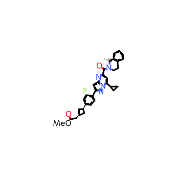 COC(=O)C[C@H]1C[C@@H](c2ccc(-c3cc4nc(C(=O)N5CCc6ccccc6[C@H]5C)cc(C5CC5)n4n3)c(F)c2)C1